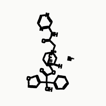 O=C(C[N+]12CCC(CC1)[C@@H](OC(=O)C(O)(c1ccccc1)c1ccoc1)C2)Nc1cnccn1.[Br-]